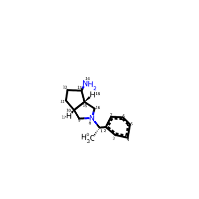 C[C@@H](c1ccccc1)N1C[C@@H]2CCC(N)[C@@H]2C1